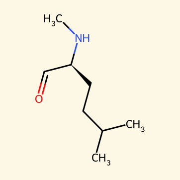 CN[C@H](C=O)CCC(C)C